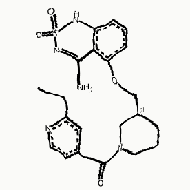 CCc1cc(C(=O)N2CCC[C@H](COc3cccc4c3C(N)=NS(=O)(=O)N4)C2)ccn1